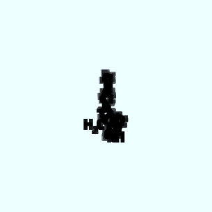 C=CC1CC=C(N2CCC3(CC2)CC(N2CCCC2)C3)C=C1N1CCCc2nc3[nH]ccc3cc21